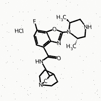 C[C@H]1CNC[C@H](C)N1c1nc2c(C(=O)NC3CN4CCC3CC4)ccc(F)c2o1.Cl